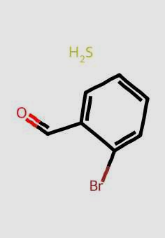 O=Cc1ccccc1Br.S